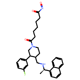 C[C@@H](NCC1CCN(C(=O)CCCCCC(=O)N=O)CC1c1cccc(F)c1)c1cccc2ccccc12